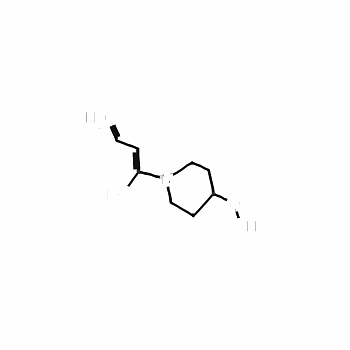 C=C/C=C(\C)N1CCC(OC)CC1